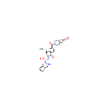 CC1(C)CN(C[C@H](O)[C@H]2Cc3ccccc3CN2)C(=O)c2ccc(C(=O)N3CCC4(CC3)CC(=C=O)C4)cc21.Cl